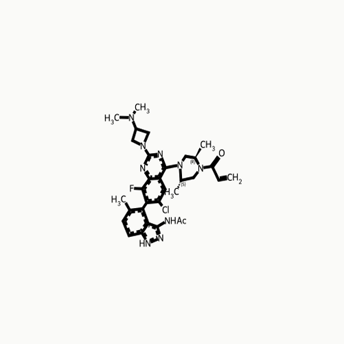 C=CC(=O)N1C[C@H](C)N(c2nc(N3CC(N(C)C)C3)nc3c(F)c(-c4c(C)ccc5[nH]nc(NC(C)=O)c45)c(Cl)cc23)C[C@H]1C